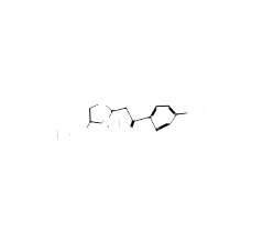 Cc1ccc(C(=S)CC2NC(C(=O)O)CS2)cc1